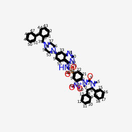 CN(C(=O)N(C)C(Cc1ccccc1)c1ccccc1)c1ccc(S(=O)(=O)Nc2ncnc3cc(N4CCN(Cc5ccccc5-c5ccccc5)CC4)ccc23)cc1[N+](=O)[O-]